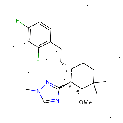 CO[C@@H]1[C@@H](c2ncn(C)n2)[C@H](CCc2ccc(F)cc2F)CCC1(C)C